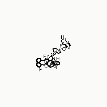 C#Cc1c(F)ccc2cccc(-c3nc4c5c(nc(OC[C@@]67CCCN6[C@H](COc6nccnc6C(C)F)CC7)nc5c3F)N3C[C@H]5CC[C@H](N5)[C@H]3CCC4)c12